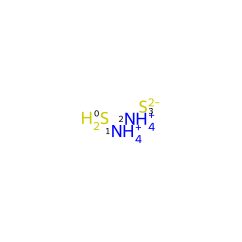 S.[NH4+].[NH4+].[S-2]